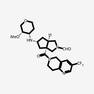 CO[C@@H]1COCC[C@@H]1N[C@@H]1C[C@H]2CN(C=O)C[C@@]2(C(=O)N2CCc3ncc(C(F)(F)F)cc3C2)C1